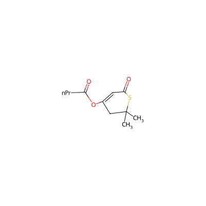 CCCC(=O)OC1=CC(=O)SC(C)(C)C1